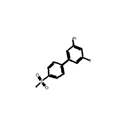 CC(C)c1cc(F)cc(-c2ccc(S(C)(=O)=O)cc2)c1